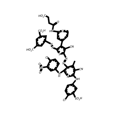 Cc1c(C#N)c(Nc2ccc(Cl)c(S(=O)(=O)O)c2)nc(Nc2ccc(Cl)c([SH](=O)=O)c2)c1N=Nc1sc(N=Nc2cc(C(=O)O)cc(C(=O)O)c2)c(-c2cccc(NC(=O)CCC(=O)O)c2)c1C#N